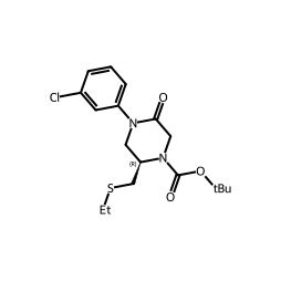 CCSC[C@H]1CN(c2cccc(Cl)c2)C(=O)CN1C(=O)OC(C)(C)C